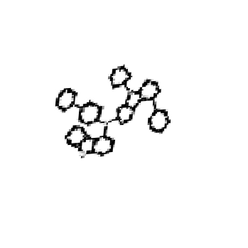 c1ccc(-c2ccc(N(c3ccc4c5c(-c6ccccc6)cccc5n(-c5ccccc5)c4c3)c3cccc4oc5ccccc5c34)cc2)cc1